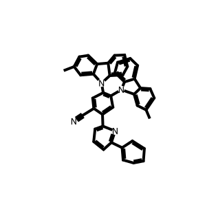 Cc1ccc2c3ccccc3n(-c3cc(C#N)c(-c4cccc(-c5ccccc5)n4)cc3-n3c4ccccc4c4ccc(C)cc43)c2c1